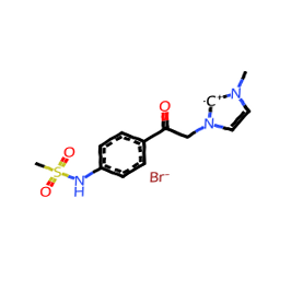 CN1[C+]N(CC(=O)c2ccc(NS(C)(=O)=O)cc2)C=C1.[Br-]